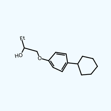 CCC(O)COc1ccc(C2CCCCC2)cc1